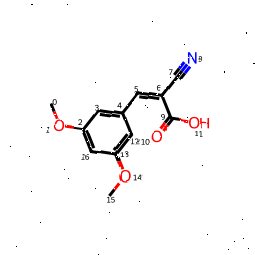 COc1cc(C=C(C#N)C(=O)O)cc(OC)c1